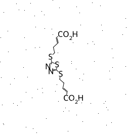 O=C(O)C=CCCSc1nnc(SCCC=CC(=O)O)s1